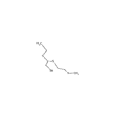 CCSC(CS)SCCSC